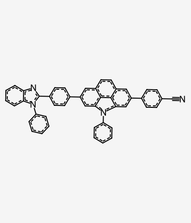 N#Cc1ccc(-c2cc3ccc4cc(-c5ccc(-c6nc7ccccc7n6-c6ccccc6)cc5)cc5c4c3c(c2)n5-c2ccccc2)cc1